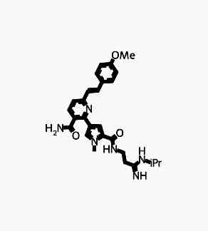 COc1ccc(C=Cc2ccc(C(N)=O)c(-c3cc(C(=O)NCCC(=N)NC(C)C)n(C)c3)n2)cc1